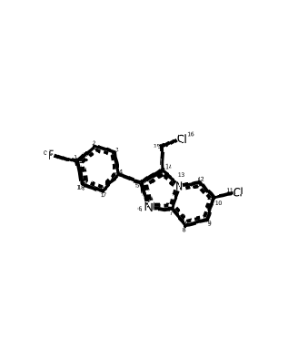 Fc1ccc(-c2nc3ccc(Cl)cn3c2CCl)cc1